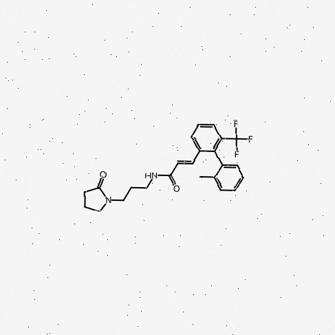 Cc1ccccc1-c1c(C(F)(F)F)[c]ccc1/C=C/C(=O)NCCCN1CCCC1=O